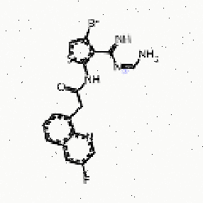 N=C(/N=C\N)c1c(Br)csc1NC(=O)Cc1cccc2cc(F)cnc12